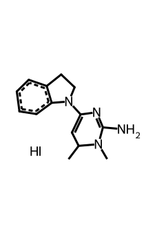 CC1C=C(N2CCc3ccccc32)N=C(N)N1C.I